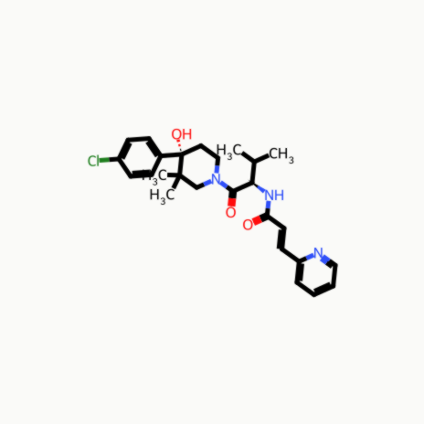 CC(C)[C@@H](NC(=O)/C=C/c1ccccn1)C(=O)N1CC[C@](O)(c2ccc(Cl)cc2)C(C)(C)C1